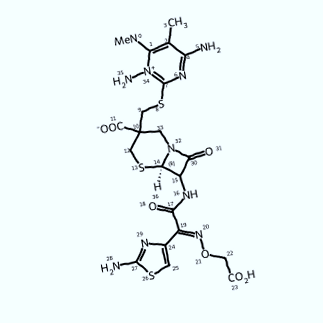 CNc1c(C)c(N)nc(SCC2(C(=O)[O-])CS[C@@H]3C(NC(=O)C(=NOCC(=O)O)c4csc(N)n4)C(=O)N3C2)[n+]1N